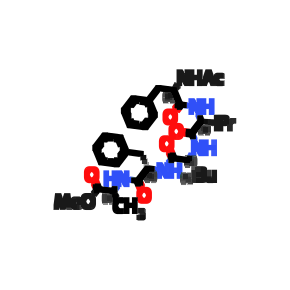 CC[C@H](C)[C@H](NC(=O)[C@@H](NC(=O)[C@@H](Cc1ccccc1)NC(C)=O)C(C)C)C(=O)N[C@@H](Cc1ccccc1)C(=O)N[C@@H](C)C(=O)OC